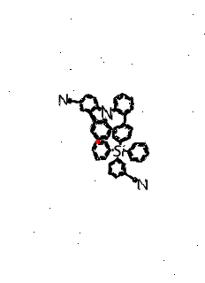 N#Cc1cccc([Si](c2ccccc2)(c2ccccc2)c2ccc(-c3ccccc3-n3c4ccccc4c4cc(C#N)ccc43)cc2)c1